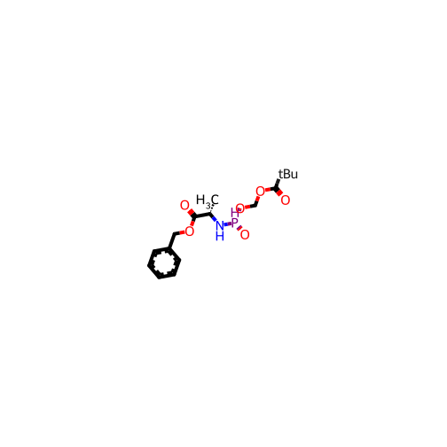 C[C@H](N[PH](=O)OCOC(=O)C(C)(C)C)C(=O)OCc1ccccc1